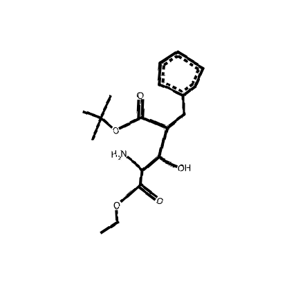 CCOC(=O)C(N)C(O)C(Cc1ccccc1)C(=O)OC(C)(C)C